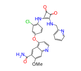 COc1cc2nccc(Oc3ccc(Nc4c(NCc5ccccn5)c(=O)c4=O)c(Cl)c3)c2cc1C(N)=O